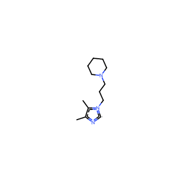 Cc1n[c]n(CCCN2CCCCC2)c1C